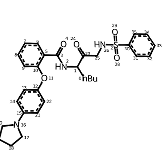 CCCCC(NC(=O)c1ccccc1Oc1ccc(N2CCCC2)cc1)C(=O)CNS(=O)(=O)c1ccccc1